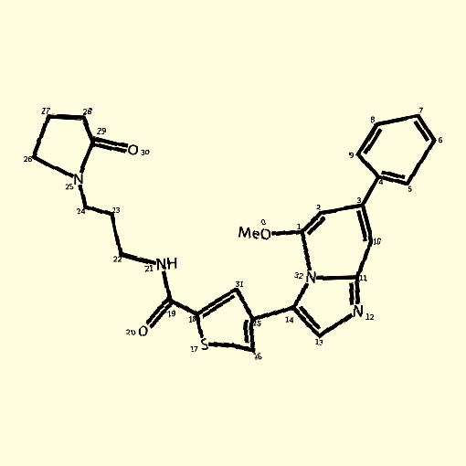 COc1cc(-c2ccccc2)cc2ncc(-c3csc(C(=O)NCCCN4CCCC4=O)c3)n12